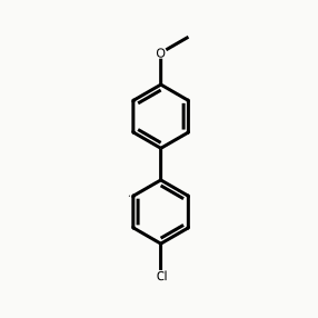 COc1ccc(-c2[c]cc(Cl)cc2)cc1